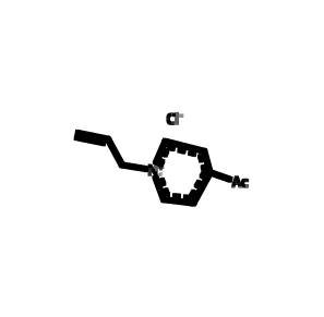 C=CC[n+]1ccc(C(C)=O)cc1.[Cl-]